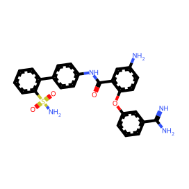 N=C(N)c1cccc(Oc2ccc(N)cc2C(=O)Nc2ccc(-c3ccccc3S(N)(=O)=O)cc2)c1